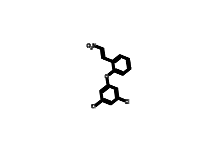 O=[N+]([O-])C=Cc1ccccc1Oc1cc(Cl)cc(Cl)c1